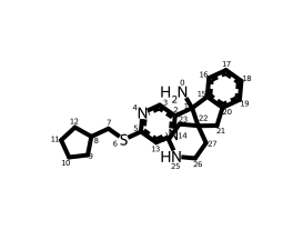 NC1(c2cnc(SCC3CCCC3)cn2)c2ccccc2CC12CCNCC2